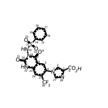 O=C(O)c1cn(-c2cc3c(=O)n(NS(=O)(=O)c4ccccc4)c(=O)[nH]c3cc2C(F)(F)F)cn1